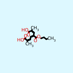 CCCCOC(=O)C(C=C(C)C(=O)O)=CC=C(C)C(=O)O